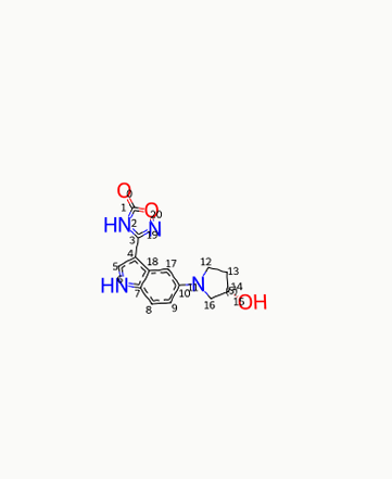 O=c1[nH]c(-c2c[nH]c3ccc(N4CC[C@H](O)C4)cc23)no1